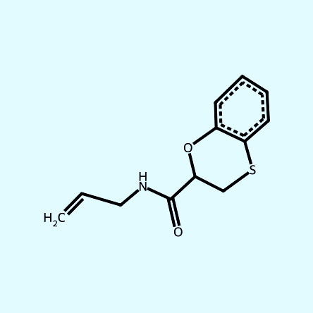 C=CCNC(=O)C1CSc2ccccc2O1